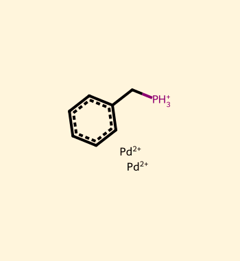 [PH3+]Cc1ccccc1.[Pd+2].[Pd+2]